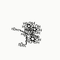 CCCCCCCCCCCCCCCC(=O)N[C@@H](COP(=O)(O)O[C@H]1C(O)C(O)C(O)[C@@H](O)C1O[C@H]1O[C@H](COP(=O)(O)OC2C(O)C(O)C(O)[C@@H](O)C2O)[C@@H](O)C(O)C1O)[C@H](O)[C@H](O)CCCCCCCCCCCCCC